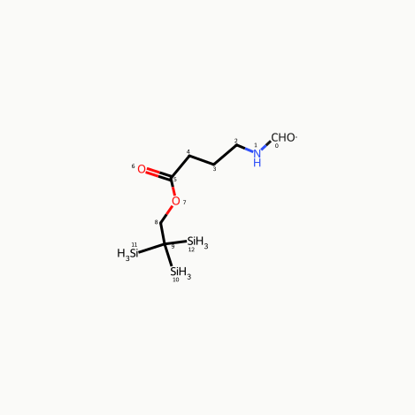 O=[C]NCCCC(=O)OCC([SiH3])([SiH3])[SiH3]